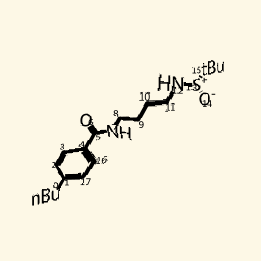 CCCCc1ccc(C(=O)NCCCCN[S+]([O-])C(C)(C)C)cc1